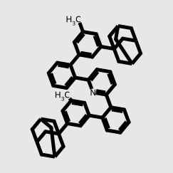 Cc1cc(-c2ccccc2-c2cccc(-c3ccccc3-c3cc(C)cc(C45CC6CC(CC(C6)C4)C5)c3)n2)cc(C23CC4CC(CC(C4)C2)C3)c1